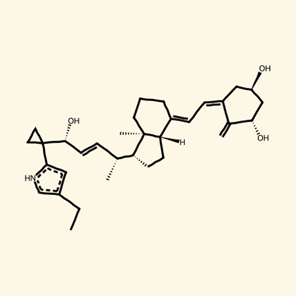 C=C1/C(=C\C=C2/CCC[C@]3(C)[C@@H]([C@H](C)/C=C/[C@@H](O)C4(c5cc(CC)c[nH]5)CC4)CC[C@@H]23)C[C@@H](O)C[C@@H]1O